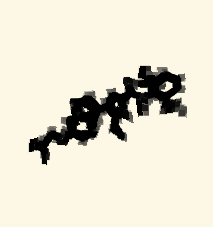 CCc1sc(C(=O)N[C@@H]2[C@H](N)CCCC2(F)F)cc1-c1cnn2cc(OCC(F)F)cnc12